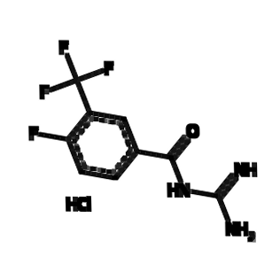 Cl.N=C(N)NC(=O)c1ccc(F)c(C(F)(F)F)c1